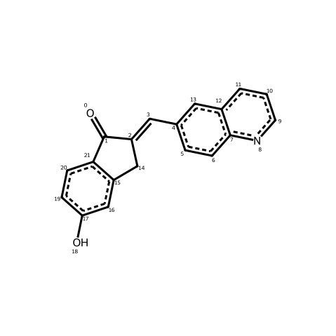 O=C1/C(=C/c2ccc3ncccc3c2)Cc2cc(O)ccc21